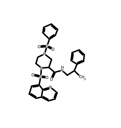 CC(CNC(=O)C1CN(S(=O)(=O)c2ccccc2)CCN1S(=O)(=O)c1cccc2cccnc12)c1ccccc1